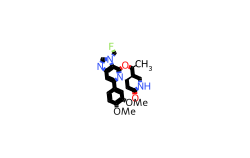 COc1ccc(-c2cc3ncn(CF)c3c(O[C@H](C)[C@@H]3CCC(=O)NC3)n2)cc1OC